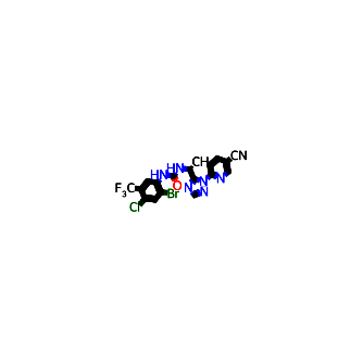 C[C@H](NC(=O)Nc1cc(C(F)(F)F)c(Cl)cc1Br)c1ncnn1-c1ccc(C#N)cn1